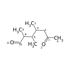 CC(=O)CC(C)C(C)C(C)C=O